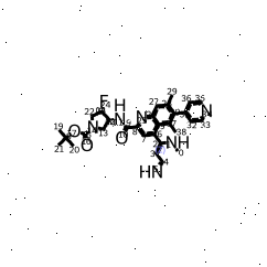 CN/C(=C\C=N)c1cc(C(=O)N[C@@H]2CN(C(=O)OC(C)(C)C)C[C@@H]2F)nc2cc(C)c(-c3ccncc3)c(C)c12